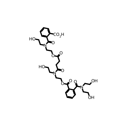 O=C(CCC(=O)N(CCO)CCOC(=O)c1ccccc1C(=O)N(CCO)CCO)OCCN(CCO)C(=O)c1ccccc1C(=O)O